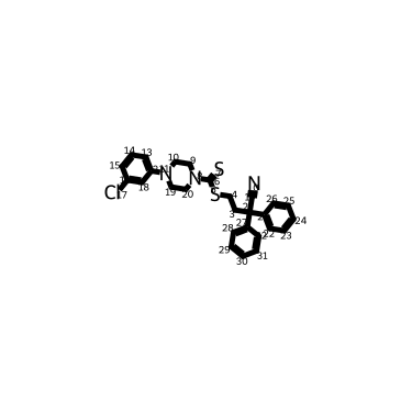 N#CC(CCSC(=S)N1CCN(c2cccc(Cl)c2)CC1)(c1ccccc1)c1ccccc1